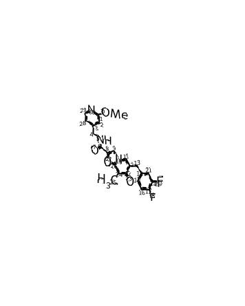 COc1cc(CNC(=O)c2cn3cc(Cc4ccc(F)c(F)c4)c(=O)c(C)c3o2)ccn1